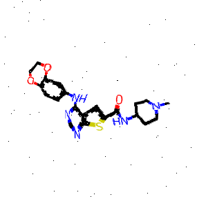 CN1CCC(NC(=O)c2cc3c(Nc4ccc5c(c4)OCCO5)ncnc3s2)CC1